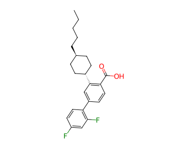 CCCCC[C@H]1CC[C@H](c2cc(-c3ccc(F)cc3F)ccc2C(=O)O)CC1